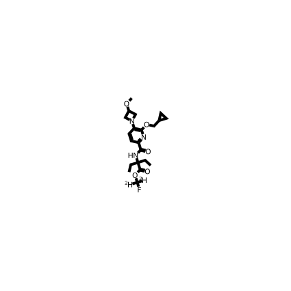 [2H]C([2H])(F)OC(=O)C(CC)(CC)NC(=O)c1ccc(N2CC(OC)C2)c(OCC2CC2)n1